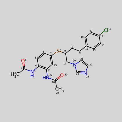 CC(=O)Nc1ccc(SC(CCc2ccc(Cl)cc2)Cn2ccnc2)cc1NC(C)=O